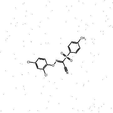 Cc1ccc(S(=O)(=O)C(C#N)=NOc2ccc(Cl)cc2Cl)cc1